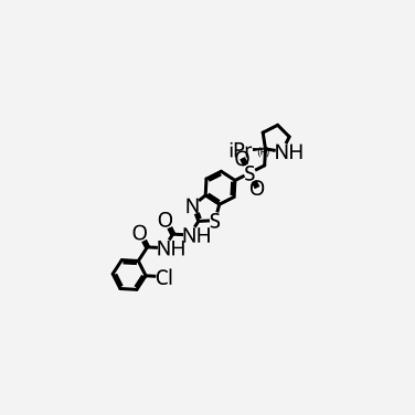 CC(C)[C@@]1(CS(=O)(=O)c2ccc3nc(NC(=O)NC(=O)c4ccccc4Cl)sc3c2)CCCN1